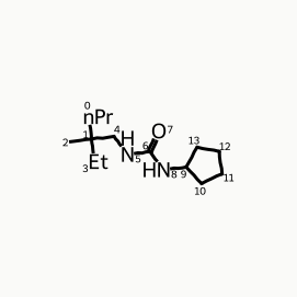 CCCC(C)(CC)CNC(=O)NC1CCCC1